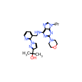 CC(C)n1cnc2c(NCc3cccnc3-n3ccc(C(C)(C)O)n3)nc(N3CCOCC3)nc21